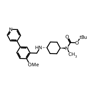 COc1ccc(-c2ccncc2)cc1CN[C@H]1CC[C@H](N(C)C(=O)OC(C)(C)C)CC1